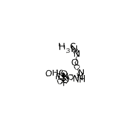 CN1CCN(CCCOc2ccc(-c3cc(Nc4ccc(N(OC=O)S(=O)(=O)c5c(F)cccc5F)cc4)ncn3)cc2)CC1